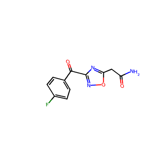 NC(=O)Cc1nc(C(=O)c2ccc(F)cc2)no1